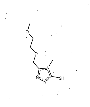 COCCOCc1nnc(S)n1C